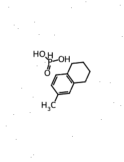 Cc1ccc2c(c1)CCCC2.O=[PH](O)O